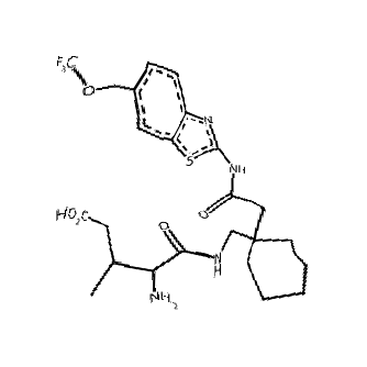 CC(CC(=O)O)C(N)C(=O)NCC1(CC(=O)Nc2nc3ccc(OC(F)(F)F)cc3s2)CCCCC1